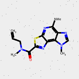 C=CCN(C)C(=O)c1nc2c(nc(NC)c3ncn(C)c32)s1